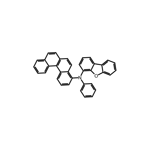 c1ccc(N(c2cccc3c2ccc2ccc4ccccc4c23)c2cccc3c2oc2ccccc23)cc1